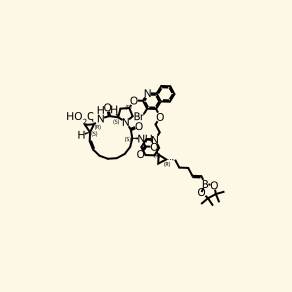 CC1(C)OB(C=CCCC[C@@H]2C[C@H]2OC(=O)N[C@H]2CCCCCC=C[C@@H]3C[C@@]3(C(=O)O)NC(=O)[C@@H]3C[C@@H](Oc4nc5ccccc5c(OCCN5CCCCC5)c4Br)CN3C2=O)OC1(C)C